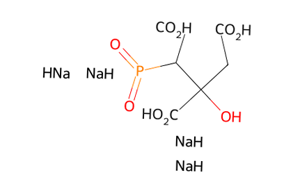 O=C(O)CC(O)(C(=O)O)C(C(=O)O)P(=O)=O.[NaH].[NaH].[NaH].[NaH]